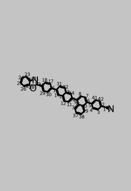 N#Cc1ccc(-c2ccc(-c3ccc4cc(-c5ccc(-c6nc7ccccc7o6)cc5)ccc4c3)c3ccccc23)cc1